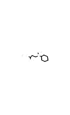 CC(CCN(C)C1CCCCC1)C(F)(F)F